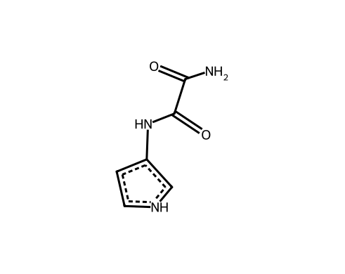 NC(=O)C(=O)Nc1cc[nH]c1